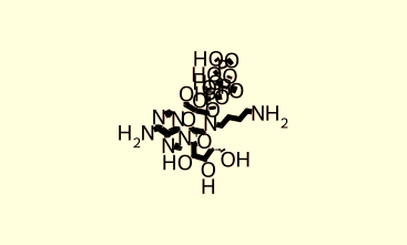 NCCCCN1CC([N+]2([C@@H]3O[C@H](CO)[C@@H](O)[C@H]3O)C=Nc3c(N)ncnc32)OC(CO)(OP(=O)(O)OP(=O)(O)OP(=O)(O)O)C1